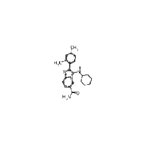 Cc1ccc(-c2nc3ccc(C(N)=O)cn3c2NC2CCCCC2)c(C)c1